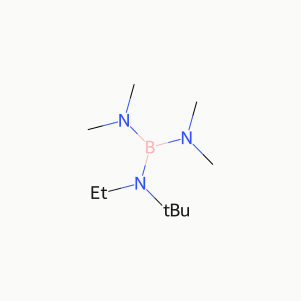 CCN(B(N(C)C)N(C)C)C(C)(C)C